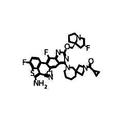 N#Cc1c(N)sc2c(F)ccc(-c3c(Cl)cc4c(N5CCCCC6(CN(C(=O)C7CC7)C6)C5)nc(OC[C@@]56CCCN5C[C@H](F)C6)nc4c3F)c12